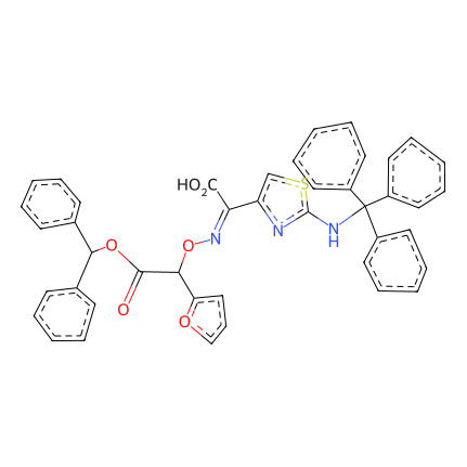 O=C(O)/C(=N\OC(C(=O)OC(c1ccccc1)c1ccccc1)c1ccco1)c1csc(NC(c2ccccc2)(c2ccccc2)c2ccccc2)n1